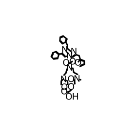 CN(CCCN(CCCN1CCOCC1)C(=O)Oc1c(Cc2ccco2)nc2c(Cc3ccccc3)nc(-c3ccccc3)cn12)C(=O)COCC(=O)O